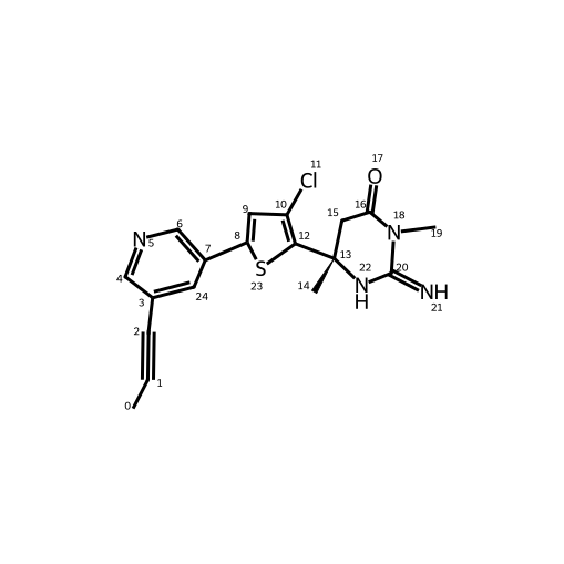 CC#Cc1cncc(-c2cc(Cl)c([C@]3(C)CC(=O)N(C)C(=N)N3)s2)c1